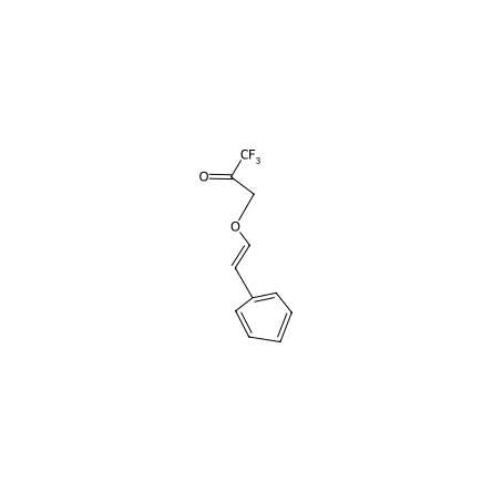 O=C(COC=Cc1ccccc1)C(F)(F)F